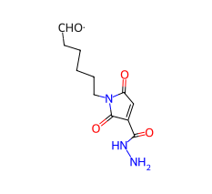 NNC(=O)C1=CC(=O)N(CCCCC[C]=O)C1=O